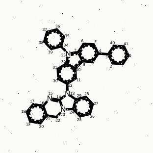 c1ccc(-c2ccc3c(c2)c2cc(N4C5=Nc6ccccc6CN5c5ccccc54)ccc2n3-c2ccccc2)cc1